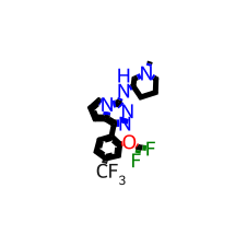 CN1CCCC(Nc2nnc(-c3ccc(C(F)(F)F)cc3OC(F)F)c3cccn23)C1